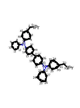 CC(C)Cc1ccc(N(c2ccccc2)c2ccc(-c3ccc(N(c4ccccc4)c4ccc(CC(C)C)cc4)cc3)cc2)cc1